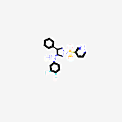 O=S(=O)(c1cccnc1)N1CC(Nc2ccc(F)c(F)c2)C(c2ccccc2)C1